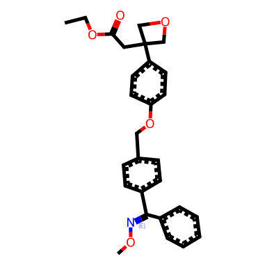 CCOC(=O)CC1(c2ccc(OCc3ccc(/C(=N/OC)c4ccccc4)cc3)cc2)COC1